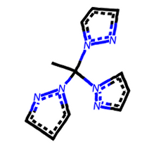 CC(n1cccn1)(n1cccn1)n1cccn1